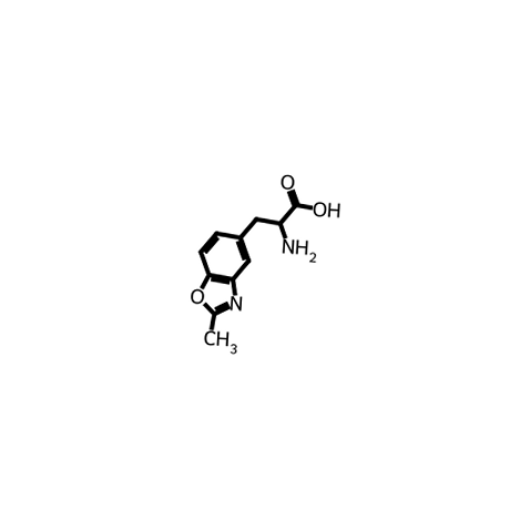 Cc1nc2cc(CC(N)C(=O)O)ccc2o1